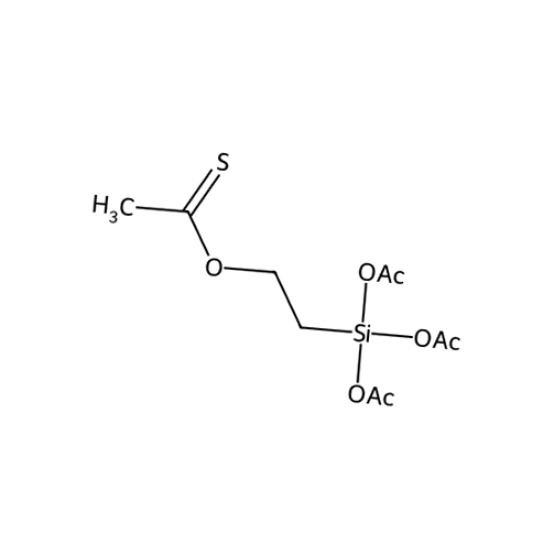 CC(=O)O[Si](CCOC(C)=S)(OC(C)=O)OC(C)=O